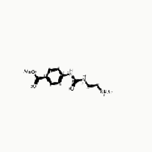 COC(=O)c1ccc(NC(=O)NCCNC(C)=O)cc1